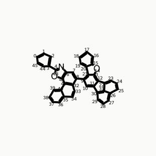 c1ccc(-c2nc3cc(-c4cc5c(c6oc7ccccc7c46)-c4cccc6cccc-5c46)c4ccc5ccccc5c4c3o2)cc1